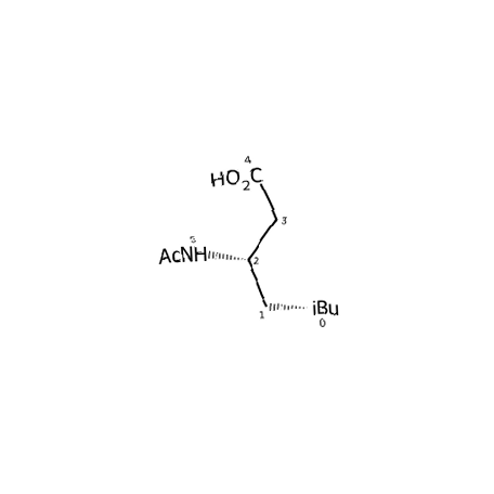 CC[C@@H](C)C[C@@H](CC(=O)O)NC(C)=O